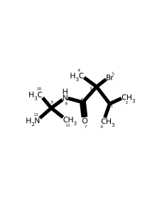 CC(C)C(C)(Br)C(=O)NC(C)(C)N